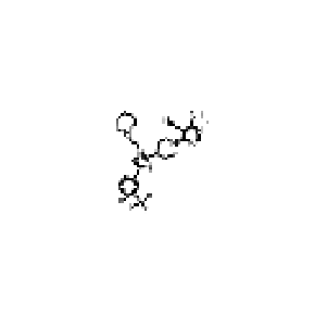 N#Cc1c(N)ncnc1N1CCC(c2nc(-c3ccc(F)c(C(F)(F)F)c3)cn2CCN2CCCCC2)CC1